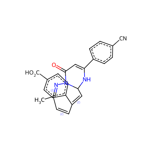 CC1=N/N2C(=O)C=C(c3ccc(C#N)cc3)NC2/C=C(c2ccc(C(=O)O)cc2)/C=C\1